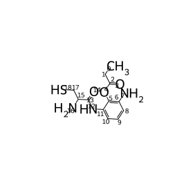 CCC(=O)Oc1c(N)cccc1NC(=O)C(N)CS